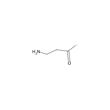 [CH2]C(=O)CCN